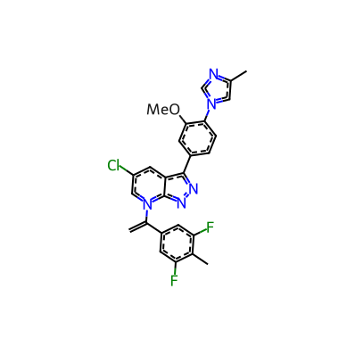 C=C(c1cc(F)c(C)c(F)c1)n1cc(Cl)cc2c(-c3ccc(-n4cnc(C)c4)c(OC)c3)nnc1-2